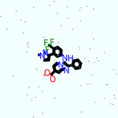 COC(=O)c1ccn2c(Nc3ccc(C(F)(F)F)c(-c4ccn(C)n4)c3)c(-c3ccccc3)nc2c1